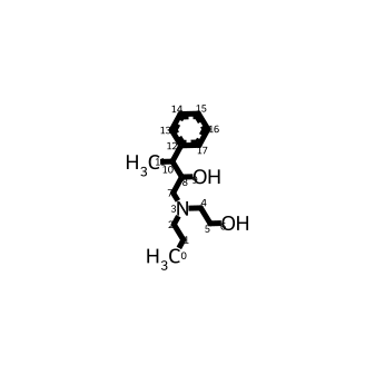 CCCN(CCO)CC(O)C(C)c1ccccc1